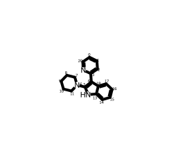 c1ccc(-c2c(N3CCCCC3)[nH]c3ccccc23)nc1